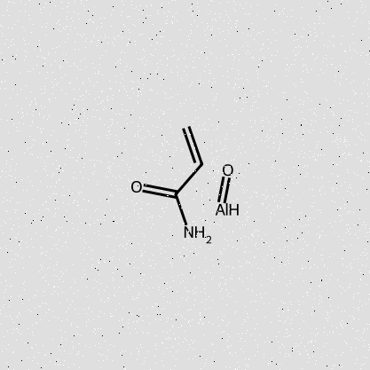 C=CC(N)=O.[O]=[AlH]